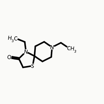 CCN1CCC2(CC1)SCC(=O)N2CC